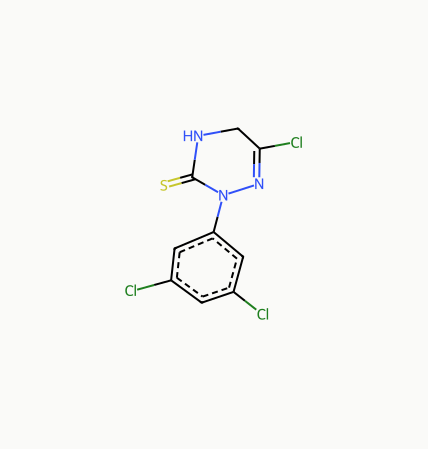 S=C1NCC(Cl)=NN1c1cc(Cl)cc(Cl)c1